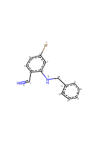 N=Cc1ccc(Br)cc1NCc1ccccc1